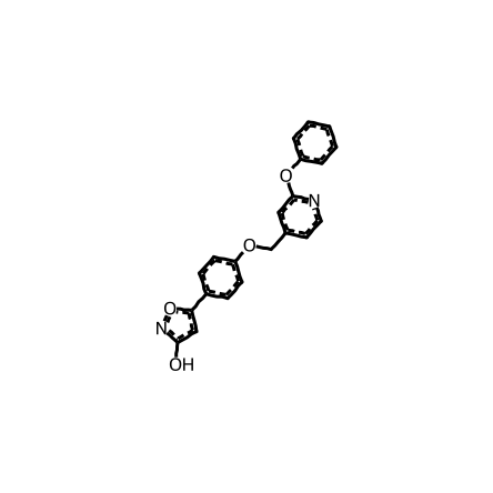 Oc1cc(-c2ccc(OCc3ccnc(Oc4ccccc4)c3)cc2)on1